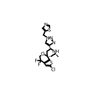 C[C@H]1C[C@@]2(C[C@@H](c3cn(Cc4cncs4)nn3)N1)OCC(F)(F)c1cc(Cl)sc12